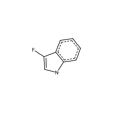 FC1=C[N]c2ccccc21